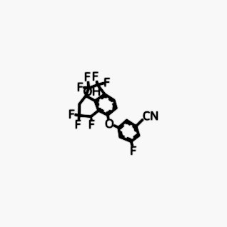 N#Cc1cc(F)cc(Oc2ccc3c4c2[C@@H](F)C(F)(F)C[C@@]4(O)C(F)(F)C3(F)F)c1